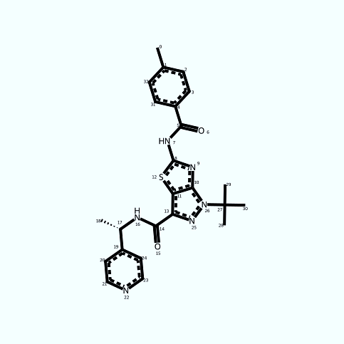 Cc1ccc(C(=O)Nc2nc3c(s2)c(C(=O)N[C@@H](C)c2ccncc2)nn3C(C)(C)C)cc1